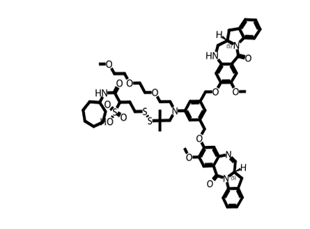 COCCOCCOCCN(CC(C)(C)SSCCC(C(=O)NC1CCCCCC1)S(=O)(=O)O)c1cc(COc2cc3c(cc2OC)C(=O)N2c4ccccc4C[C@H]2C=N3)cc(COc2cc3c(cc2OC)C(=O)N2c4ccccc4C[C@H]2CN3)c1